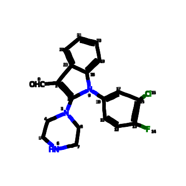 O=Cc1c(N2CCNCC2)n(-c2ccc(F)c(Cl)c2)c2ccccc12